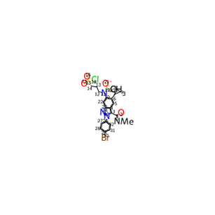 CNC(=O)c1c2cc(C3CC3)c(N(CCCS(=O)(=O)Cl)[S+](C)[O-])cc2nn1-c1ccc(Br)cc1